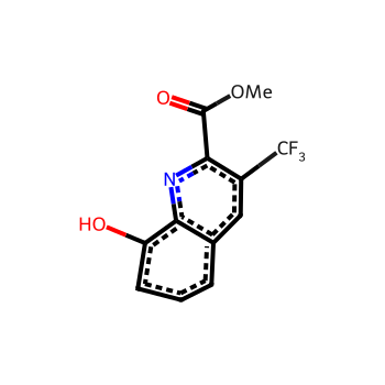 COC(=O)c1nc2c(O)cccc2cc1C(F)(F)F